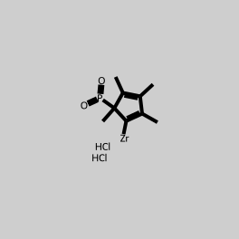 CC1=C(C)C(C)(P(=O)=O)[C]([Zr])=C1C.Cl.Cl